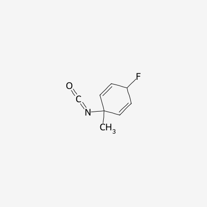 CC1(N=C=O)C=CC(F)C=C1